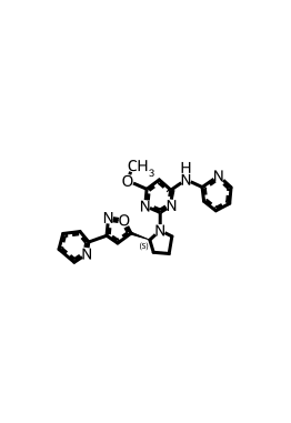 COc1cc(Nc2ccccn2)nc(N2CCC[C@H]2c2cc(-c3ccccn3)no2)n1